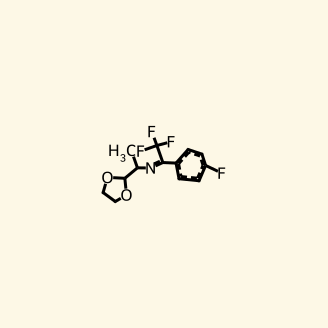 CC(N=C(c1ccc(F)cc1)C(F)(F)F)C1OCCO1